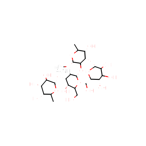 CCCO[C@@H]1OC(C)[C@H](O)[C@H](O[C@H]2O[C@@H](CO)[C@@H](O)C(O)C2O)C1O[C@@H]1OC(CO)[C@@H](O)[C@H](O[C@@H]2OC(C)[C@H](O)[C@H](O)C2O)C1NC(C)=O